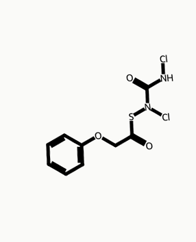 O=C(COc1ccccc1)SN(Cl)C(=O)NCl